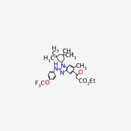 CCOC(=O)CC(=O)c1cc2nc(Nc3ccc(OC(F)(F)F)cc3)n(C3CC(C)(C)CC(C)(C)C3)c2cc1C